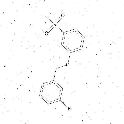 CS(=O)(=O)c1cccc(OCc2cccc(Br)c2)c1